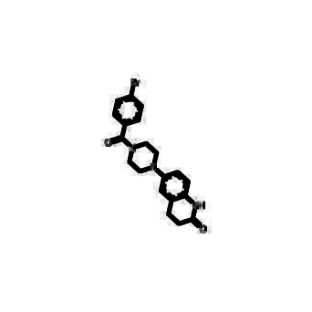 O=C1CCc2cc(N3CCN(C(=O)c4ccc(Br)cc4)CC3)ccc2N1